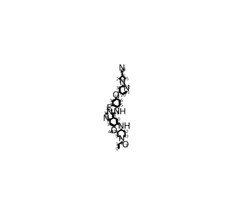 C=CC(=O)N1CCC(Nc2cc3c(Nc4ccc(Oc5ccnc(N6CC(C#N)C6)c5)cc4F)ncnc3cc2OC)CC1